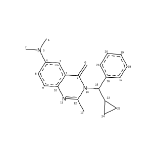 C=C1c2cc(N(C)C)ccc2N=C(C)N1C(c1ccccc1)C1CC1